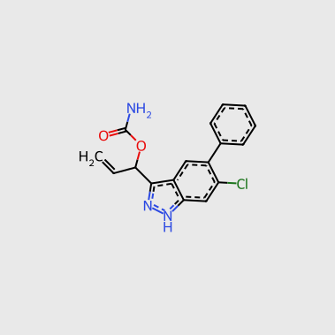 C=CC(OC(N)=O)c1n[nH]c2cc(Cl)c(-c3ccccc3)cc12